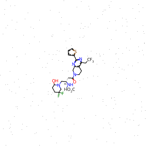 O=C(O)N[C@@H](CC(=O)N1CCc2c(nc(-c3cccs3)nc2CC(F)(F)F)C1)CN1CC(F)(F)CCC1O